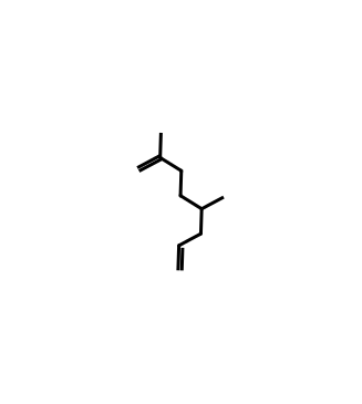 C=CCC(C)CCC(=C)C